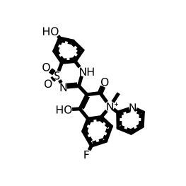 C[N+]1(c2ccccn2)C(=O)C(C2=NS(=O)(=O)c3cc(O)ccc3N2)=C(O)c2cc(F)ccc21